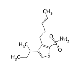 CC=CCCc1c(C(C)CC)csc1S(N)(=O)=O